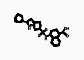 O=C(O)c1ccc(NS(=O)(=O)c2ccc3cc(-c4ccccc4)[nH]c3c2)c2ccccc12